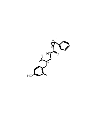 Cc1cc(O)ccc1C[C@@H](CNC(=O)[C@@H]1C[C@@]1(C)c1ccccc1)N(C)C